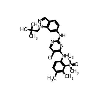 Cc1ccc(Nc2nc(Nc3ccc4cnn(CC(C)(C)O)c4c3)ncc2Cl)c(P(C)(C)=O)c1C